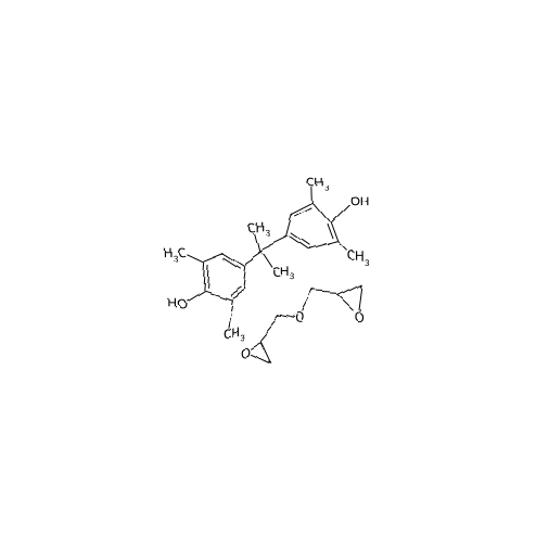 C(OCC1CO1)C1CO1.Cc1cc(C(C)(C)c2cc(C)c(O)c(C)c2)cc(C)c1O